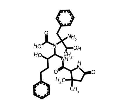 CC(O)C(N)(Cc1ccccc1)N(C(=O)O)C(NC(=O)C1NC(=O)CC1(C)C)C(O)CCc1ccccc1